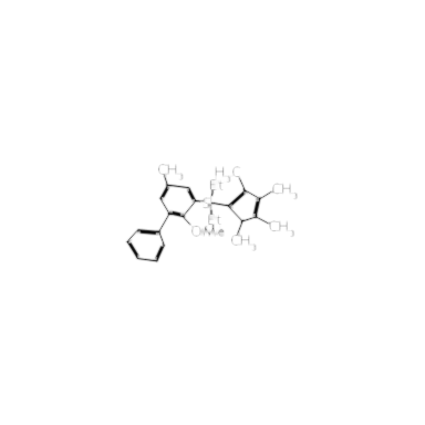 CC[Si](CC)(C1=C(C)C(C)=C(C)C1C)c1cc(C)cc(-c2ccccc2)c1OC